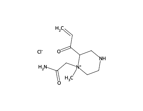 C=CC(=O)C1CNCC[N+]1(C)CC(N)=O.[Cl-]